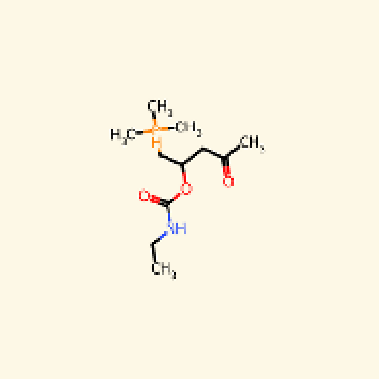 CCNC(=O)OC(CC(C)=O)C[PH](C)(C)C